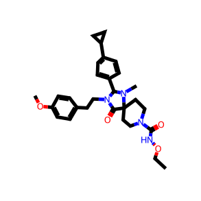 CCONC(=O)N1CCC2(CC1)C(=O)N(CCc1ccc(OC)cc1)C(c1ccc(C3CC3)cc1)N2C